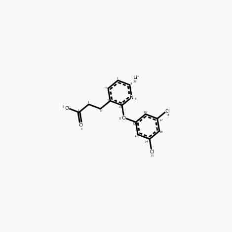 O=C([O-])CCc1cccnc1Oc1cc(Cl)cc(Cl)c1.[Li+]